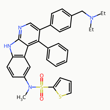 CCN(CC)Cc1ccc(-c2cnc3[nH]c4ccc(N(C)S(=O)(=O)c5cccs5)cc4c3c2-c2ccccc2)cc1